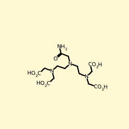 NC(=O)CN(CCN(CC(=O)O)CC(=O)O)CCN(CC(=O)O)CC(=O)O